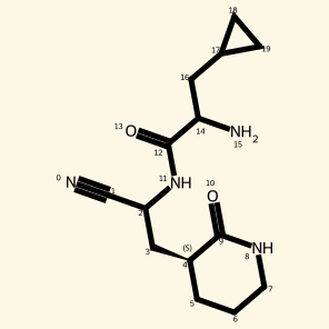 N#CC(C[C@@H]1CCCNC1=O)NC(=O)C(N)CC1CC1